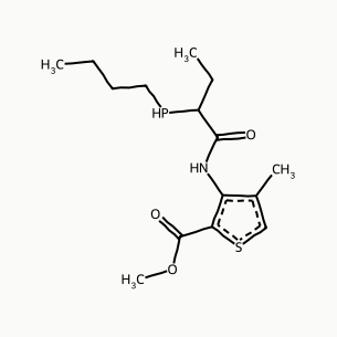 CCCCPC(CC)C(=O)Nc1c(C)csc1C(=O)OC